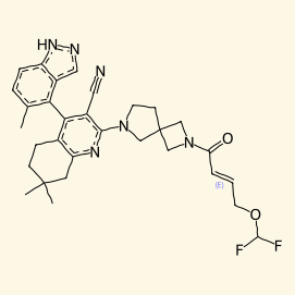 Cc1ccc2[nH]ncc2c1-c1c(C#N)c(N2CCC3(CN(C(=O)/C=C/COC(F)F)C3)C2)nc2c1CCC(C)(C)C2